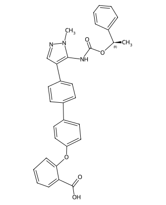 C[C@@H](OC(=O)Nc1c(-c2ccc(-c3ccc(Oc4ccccc4C(=O)O)cc3)cc2)cnn1C)c1ccccc1